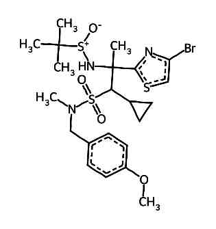 COc1ccc(CN(C)S(=O)(=O)C(C2CC2)C(C)(N[S+]([O-])C(C)(C)C)c2nc(Br)cs2)cc1